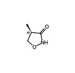 C[C@@H]1CONC1=O